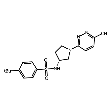 CC(C)(C)c1ccc(S(=O)(=O)N[C@@H]2CCN(c3ccc(C#N)nn3)C2)cc1